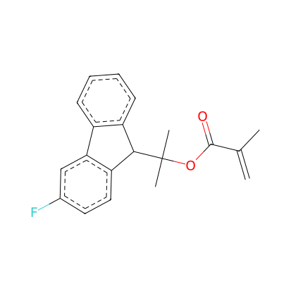 C=C(C)C(=O)OC(C)(C)C1c2ccccc2-c2cc(F)ccc21